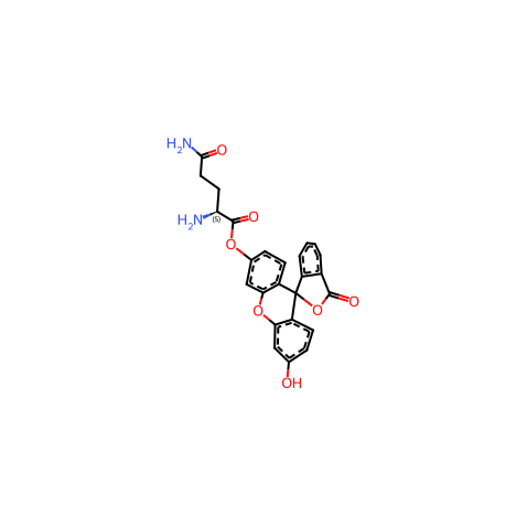 NC(=O)CC[C@H](N)C(=O)Oc1ccc2c(c1)Oc1cc(O)ccc1C21OC(=O)c2ccccc21